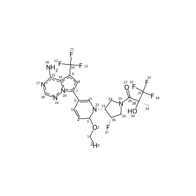 [2H]COC1C=CC(c2cc(C(F)(F)F)c3c(N)ncnn23)=CN1[C@@H]1CN(C(=O)[C@](C)(O)C(F)(F)F)C[C@@H]1F